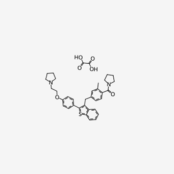 Cc1cc(Cc2c(-c3ccc(OCCN4CCCC4)cc3)sc3ccccc23)ccc1C(=O)N1CCCC1.O=C(O)C(=O)O